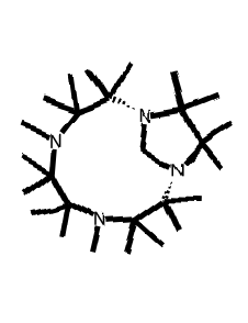 CN1C(C)(C)C(C)(C)N(C)C(C)(C)C(C)(C)[N@]2C[N@](C(C)(C)C1(C)C)C(C)(C)C2(C)C